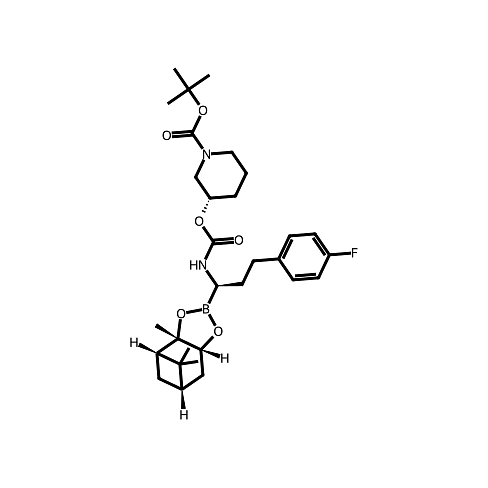 CC(C)(C)OC(=O)N1CCC[C@H](OC(=O)N[C@@H](CCc2ccc(F)cc2)B2O[C@@H]3C[C@@H]4C[C@@H](C4(C)C)[C@]3(C)O2)C1